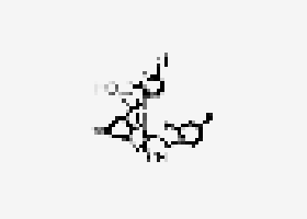 Cc1cc([C@@H](C)Nc2ccc(Cl)nc2C(=O)O)c2nc(N3Cc4ccc(F)cc4C3)c(C#N)nc2c1